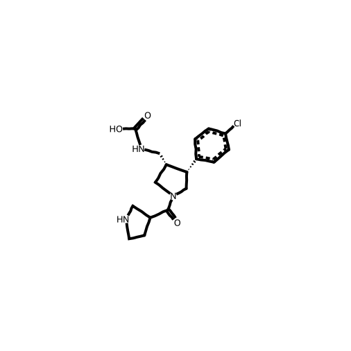 O=C(O)NC[C@H]1CN(C(=O)C2CCNC2)C[C@H]1c1ccc(Cl)cc1